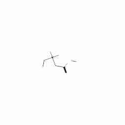 O=C(O)CC(O)(CC(=O)O[Te])C(=O)O